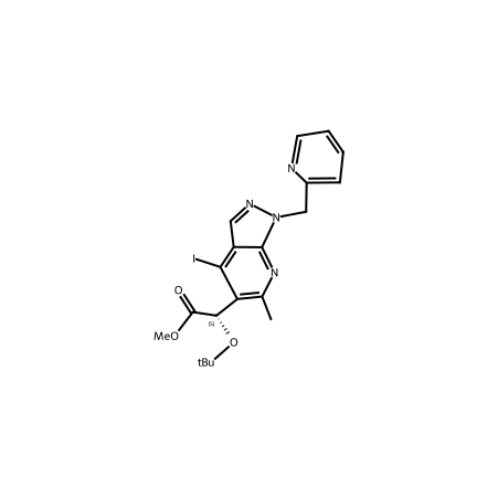 COC(=O)[C@@H](OC(C)(C)C)c1c(C)nc2c(cnn2Cc2ccccn2)c1I